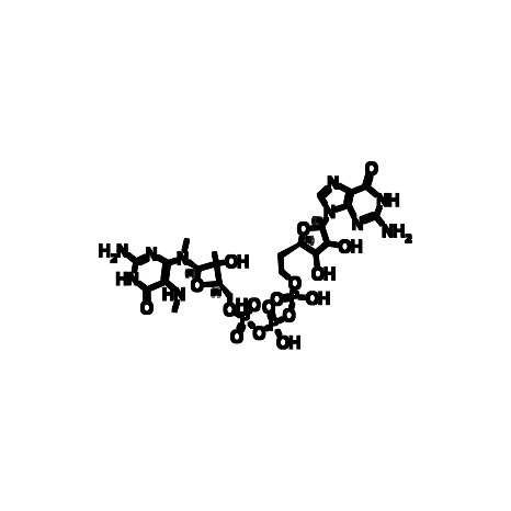 CNc1c(N(C)[C@@H]2O[C@H](COP(=O)(O)OP(=O)(O)OP(=O)(O)OCC[C@H]3O[C@@H](n4cnc5c(=O)[nH]c(N)nc54)C(O)C3O)C2(C)O)nc(N)[nH]c1=O